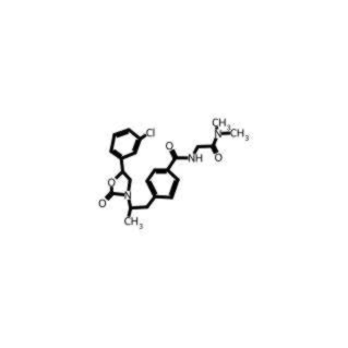 CC(Cc1ccc(C(=O)NCC(=O)N(C)C)cc1)N1CC(c2cccc(Cl)c2)OC1=O